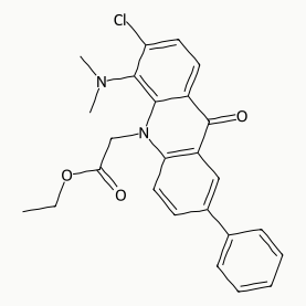 CCOC(=O)Cn1c2ccc(-c3ccccc3)cc2c(=O)c2ccc(Cl)c(N(C)C)c21